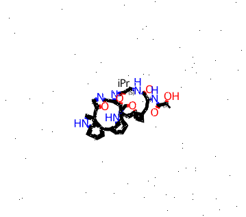 CC(C)[C@@H]1NC(=O)[C@@H](NC(=O)[C@H](C)O)Cc2ccc3c(c2)[C@]24c5cccc(c5NC2O3)-c2cccc3[nH]cc(c23)-c2cnc(o2)-c2nc1oc24